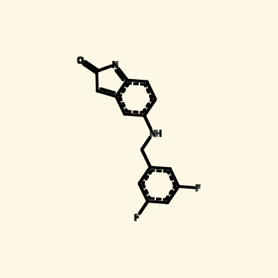 O=C1C=c2cc(NCc3cc(F)cc(F)c3)ccc2=N1